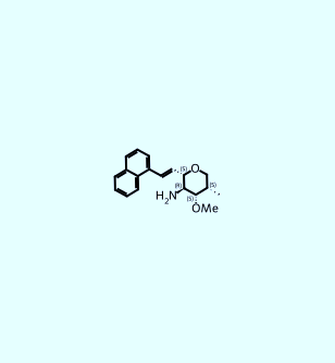 CO[C@@H]1[C@@H](N)[C@H](C=Cc2cccc3ccccc23)OC[C@@H]1C